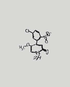 [2H]n1cc(OC)c(-c2cc(Cl)ccc2[N+](=O)[O-])cc1=O